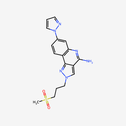 CS(=O)(=O)CCCn1cc2c(N)nc3cc(-n4cccn4)ccc3c2n1